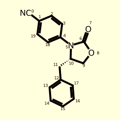 N#Cc1ccc(N2C(=O)OC[C@@H]2Cc2ccccc2)cc1